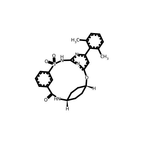 Cc1cccc(C)c1-c1cc2nc(n1)NS(=O)(=O)c1cccc(c1)C(=O)N[C@H]1CC[C@H](CC1)O2